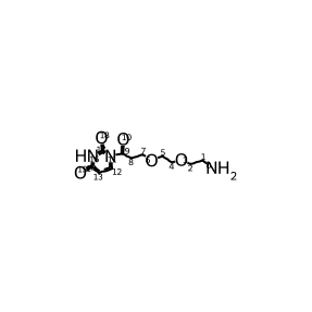 NCCOCCOCCC(=O)n1ccc(=O)[nH]c1=O